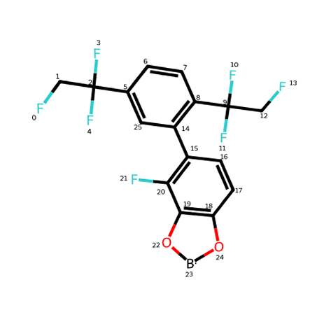 FCC(F)(F)c1ccc(C(F)(F)CF)c(-c2ccc3c(c2F)O[B]O3)c1